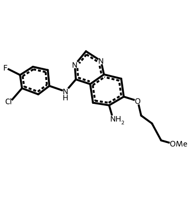 COCCCOc1cc2ncnc(Nc3ccc(F)c(Cl)c3)c2cc1N